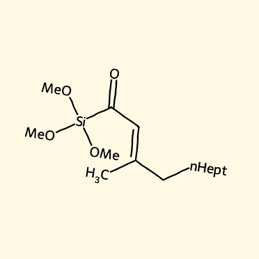 CCCCCCCCC(C)=CC(=O)[Si](OC)(OC)OC